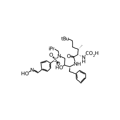 CC(C)CN(C[C@H](O)[C@H](Cc1ccccc1)NC(=O)[C@@H](NC(=O)O)[C@@H](C)CCC(C)(C)C)S(=O)(=O)c1ccc(C=NO)cc1